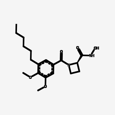 CCCCCCc1cc(C(=O)N2CC[C@@H]2C(=O)NO)cc(OC)c1OC